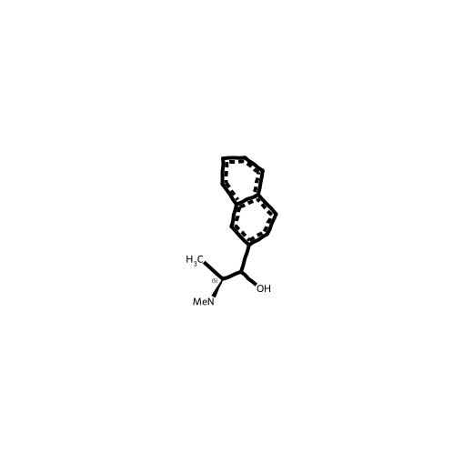 CN[C@@H](C)C(O)c1ccc2ccccc2c1